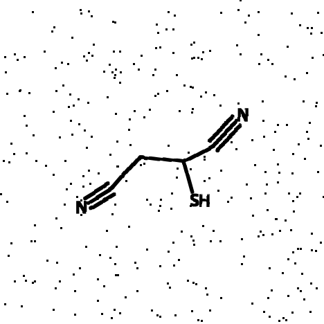 N#CCC(S)C#N